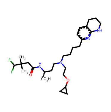 CC(C)(CC(=O)NC(CCN(CCCCc1ccc2c(n1)NCCC2)CCOC1CC1)C(=O)O)C(F)F